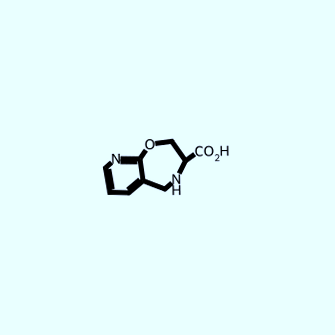 O=C(O)C1COc2ncccc2CN1